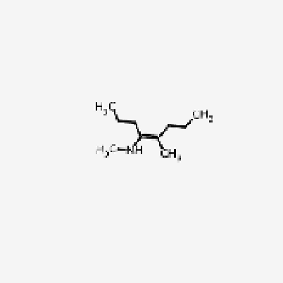 CCC/C(C)=C(\CCC)NC